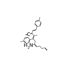 C=C=C(/C=C/c1ccc(C)cc1)/C(C)=C(/C/C(N)=C\CCC=C)c1ccc(C)cc1